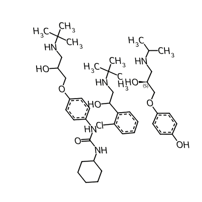 CC(C)(C)NCC(O)COc1ccc(NC(=O)NC2CCCCC2)cc1.CC(C)(C)NCC(O)c1ccccc1Cl.CC(C)NC[C@H](O)COc1ccc(O)cc1